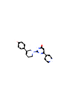 Bc1ccc(C2=CCCN(c3nc(-c4ccncc4)cc(=O)n3C)C2)cc1